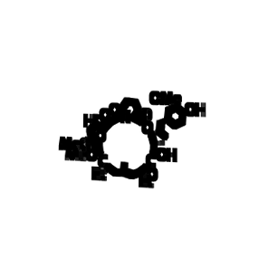 CC[C@H]1C/C(C)=C/[C@@H](CC)C(=O)C[C@H](O)[C@@H](C)[C@@H](/C(C)=C/[C@@H]2CC[C@@H](O)[C@H](OC)C2)OC(=O)[C@@H]2CCCCN2C(=O)C(=O)[C@]2(O)O[C@H]([C@@H](OC)C1)[C@@H](OC)C[C@H]2C